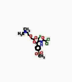 CN(C)CCOCC(=O)O[C@H](c1ccc(S(C)(=O)=O)cc1)[C@@H](CF)NC(=O)C(Cl)Cl